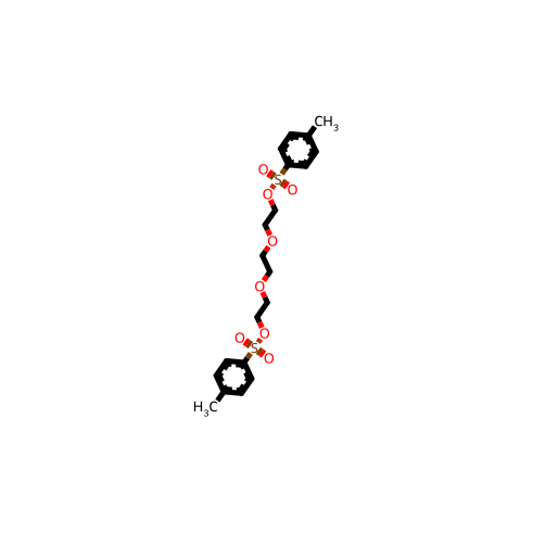 Cc1ccc(S(=O)(=O)OCCOCCOCCOS(=O)(=O)c2ccc(C)cc2)cc1